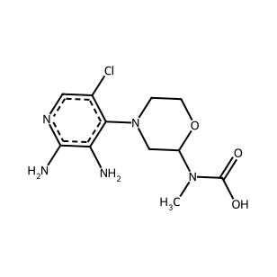 CN(C(=O)O)C1CN(c2c(Cl)cnc(N)c2N)CCO1